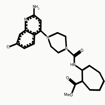 COC(=O)C1CCCCCC1NC(=O)N1CCN(c2cc(N)nc3cc(Cl)ccc23)CC1